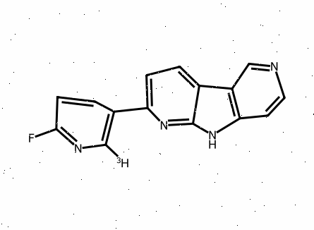 [3H]c1nc(F)ccc1-c1ccc2c(n1)[nH]c1ccncc12